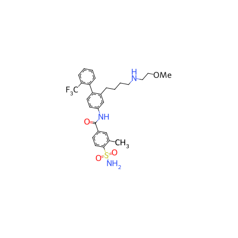 COCCNCCCCc1cc(NC(=O)c2ccc(S(N)(=O)=O)c(C)c2)ccc1-c1ccccc1C(F)(F)F